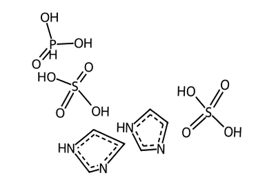 O=S(=O)(O)O.O=S(=O)(O)O.O=[PH](O)O.c1c[nH]cn1.c1c[nH]cn1